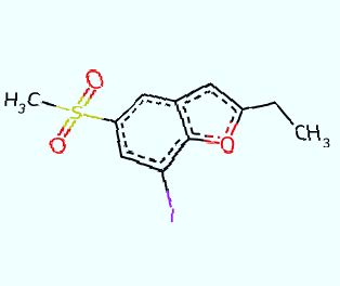 CCc1cc2cc(S(C)(=O)=O)cc(I)c2o1